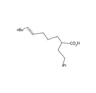 CCCC/C=C/CCCC(CCC(C)C)C(=O)O